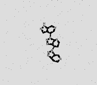 c1cc2nnn(-c3ccnc4c3nnn4-c3cncc4[nH]ncc34)c2cn1